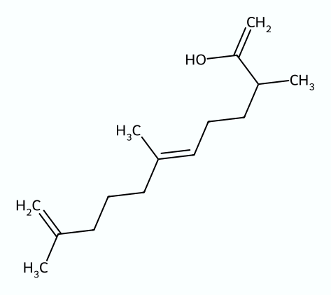 C=C(C)CCC/C(C)=C/CCC(C)C(=C)O